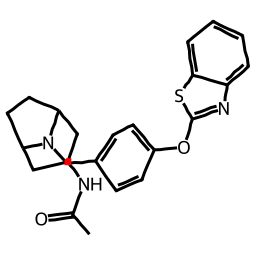 CC(=O)NC1CC2CCC(C1)N2Cc1ccc(Oc2nc3ccccc3s2)cc1